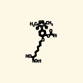 CCCCCCCCC(O)CCCCC=COc1ccc(N(S(C)(=O)=O)S(C)(=O)=O)cc1OC(=O)CC